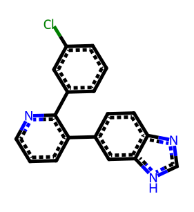 Clc1cccc(-c2ncccc2-c2ccc3nc[nH]c3c2)c1